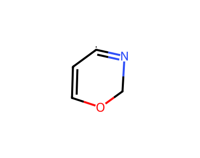 [C]1=NCOC=C1